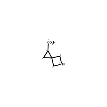 O=C(O)C1CC12CNC2